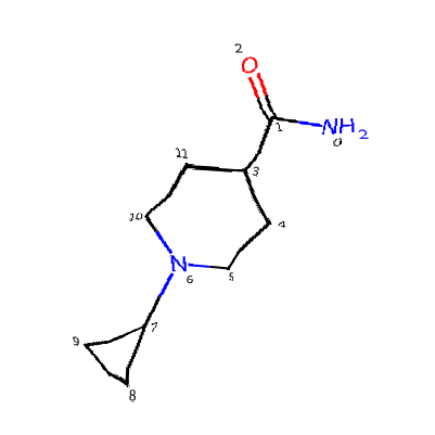 NC(=O)C1CCN(C2CC2)CC1